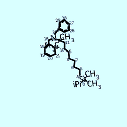 CC(C)[Si](C)(C)CCCCCCCCC(C)(C)N(CC1=CC=CCC1)Cc1ccccc1